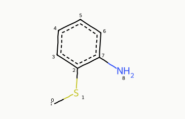 [CH]Sc1ccccc1N